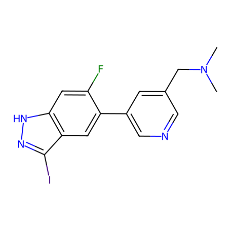 CN(C)Cc1cncc(-c2cc3c(I)n[nH]c3cc2F)c1